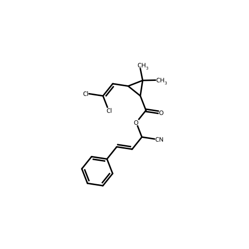 CC1(C)C(C=C(Cl)Cl)C1C(=O)OC(C#N)C=Cc1ccccc1